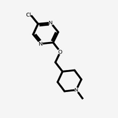 CN1CCC(COc2cnc(Cl)cn2)CC1